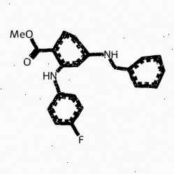 COC(=O)c1ccc(NCc2ccccc2)cc1Nc1ccc(F)cc1